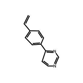 C=Cc1ccc(-c2ccncn2)cc1